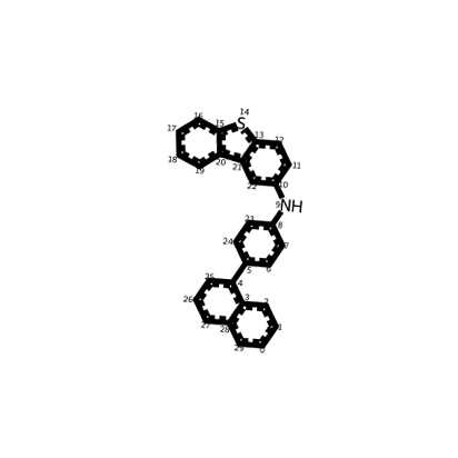 c1ccc2c(-c3ccc(Nc4ccc5sc6ccccc6c5c4)cc3)cccc2c1